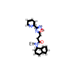 CCN(C(=O)CCc1nc(-c2ccccn2)no1)c1cccc2ccccc12